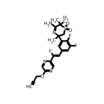 C#CCOc1cnc(C(F)=Cc2cc(F)c(F)c(C3(C)CS(=O)(=O)C(C)(C)C(N)=N3)c2)cn1